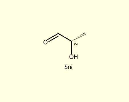 C[C@H](O)C=O.[Sn]